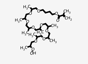 C=C(C)C(=O)OCCCCOCC(C)OCC(C)OCC(C)OCC(C)OCC(C)OCC(C)OCC(C)OCC(C)OO